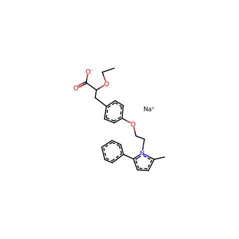 CCOC(Cc1ccc(OCCn2c(C)ccc2-c2ccccc2)cc1)C(=O)[O-].[Na+]